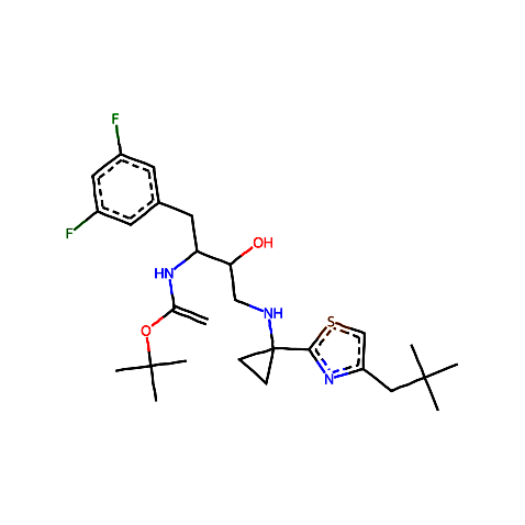 C=C(NC(Cc1cc(F)cc(F)c1)C(O)CNC1(c2nc(CC(C)(C)C)cs2)CC1)OC(C)(C)C